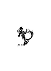 C=CC1C[C@]1(NC(=O)[C@@H]1C[C@@H]2CN1C(=O)[C@H](C(C)(C)C)NC(=O)O[C@@H]1C[C@H]1CCCCCc1nc3ccc(OC)cc3nc1O2)C(=O)NS(=O)(=O)C1(C)CC1